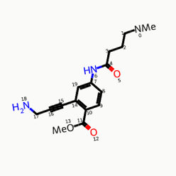 CNCCCC(=O)Nc1ccc(C(=O)OC)c(C#CCN)c1